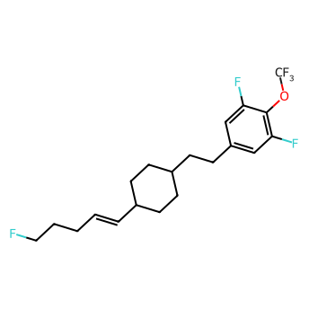 FCCCC=CC1CCC(CCc2cc(F)c(OC(F)(F)F)c(F)c2)CC1